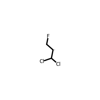 FC[CH]C(Cl)Cl